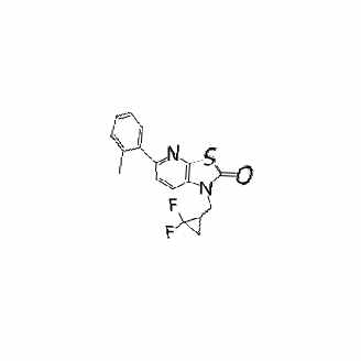 Cc1ccccc1-c1ccc2c(n1)sc(=O)n2CC1CC1(F)F